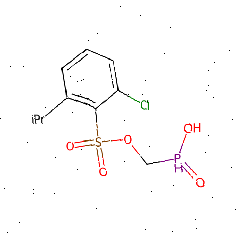 CC(C)c1cccc(Cl)c1S(=O)(=O)OC[PH](=O)O